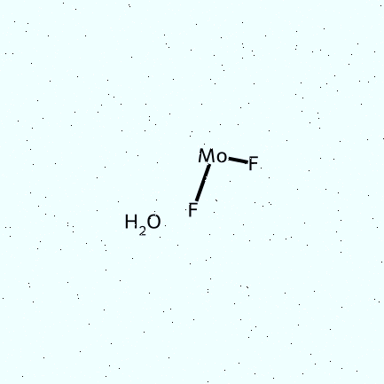 O.[F][Mo][F]